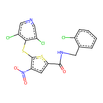 O=C(NCc1ccccc1Cl)c1cc([N+](=O)[O-])c(Sc2c(Cl)cncc2Cl)s1